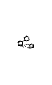 CC(c1ncc[nH]1)c1ccccc1-c1ccccc1